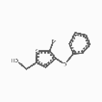 OCc1cc(Oc2ccccc2)c(Br)s1